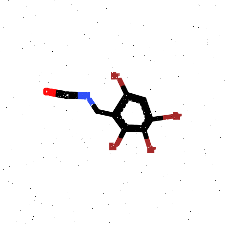 O=C=NCc1c(Br)cc(Br)c(Br)c1Br